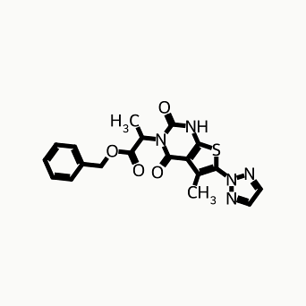 Cc1c(-n2nccn2)sc2[nH]c(=O)n(C(C)C(=O)OCc3ccccc3)c(=O)c12